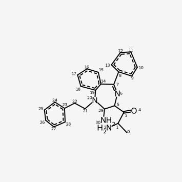 CC(N)C(=O)C1N=C(c2ccccc2)c2ccccc2N(CCc2ccccc2)C1N